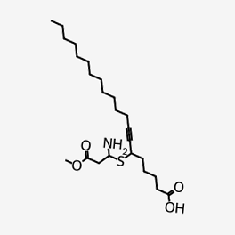 CCCCCCCCCCCCC#CC(CCCCC(=O)O)SC(N)CC(=O)OC